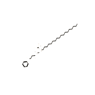 CCCCCCCCCCCCCCCCCCN(CNC(=O)CCSc1ccc(O)cc1)C(N)=O